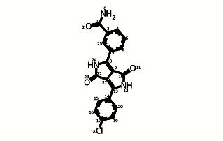 NC(=O)c1cccc(C2=C3C(=O)NC(c4ccc(Cl)cc4)=C3C(=O)N2)c1